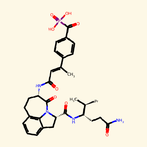 C/C(=C\C(=O)N[C@H]1CCc2cccc3c2N(C1=O)[C@H](C(=O)N[C@@H](CCC(N)=O)[C@@H](C)C(C)C)C3)c1ccc(C(=O)P(=O)(O)O)cc1